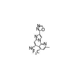 Cc1cc(C(F)(F)F)c2c(C#N)cc3nc(-c4nnco4)cn3c2n1